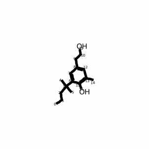 CCCC(C)(C)c1cc(CCO)cc(C)c1O